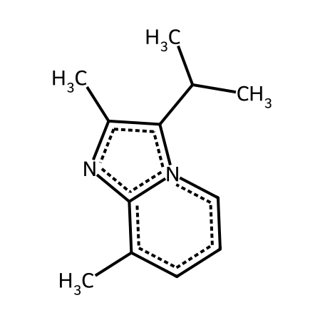 Cc1nc2c(C)cccn2c1C(C)C